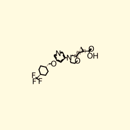 O=C(O)[C@@H]1C[C@H]1[C@@H]1CN(c2cncc(OC[C@H]3CC[C@H](C(F)(F)F)CC3)c2)CCO1